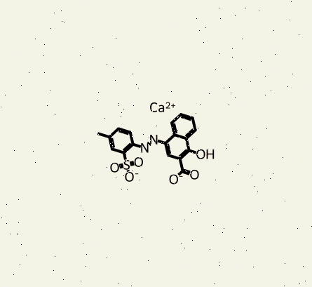 Cc1ccc(N=Nc2cc(C(=O)[O-])c(O)c3ccccc23)c(S(=O)(=O)[O-])c1.[Ca+2]